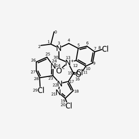 CC(C)N1Cc2cc(Cl)cc(Cl)c2[N+]([O-])(C(=O)c2cc(Cl)nn2-c2ncccc2Cl)C1